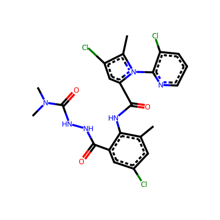 Cc1cc(Cl)cc(C(=O)NNC(=O)N(C)C)c1NC(=O)c1cc(Cl)c(C)n1-c1ncccc1Cl